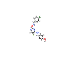 COc1ccc(CNc2nc(ON=Cc3ccc(Cl)cc3)ncc2F)cc1